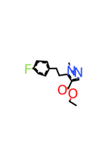 CCOC(=O)c1cnn(C)c1CCc1ccc(F)cc1